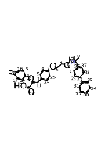 C/C(=N/OCCOc1ccc(C[C@H](Oc2ccc(F)cc2)C(=O)O)cc1)c1ccc(-c2ccccc2)cc1